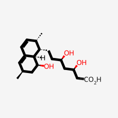 C[C@H]1C=C2C=C[C@H](C)[C@H](CC[C@@H](O)C[C@@H](O)CC(=O)O)[C@H]2[C@@H](O)C1